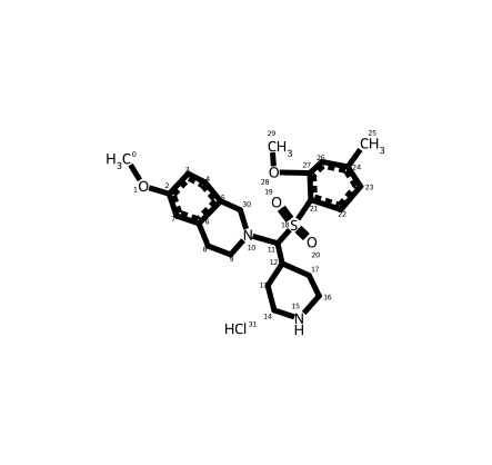 COc1ccc2c(c1)CCN(C(C1CCNCC1)S(=O)(=O)c1ccc(C)cc1OC)C2.Cl